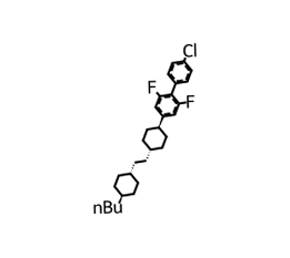 CCCC[C@H]1CC[C@H](CC[C@H]2CC[C@H](c3cc(F)c(-c4ccc(Cl)cc4)c(F)c3)CC2)CC1